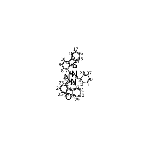 C1=CCC(c2nc(-c3cccc4c3sc3ccccc34)nc(-c3cccc4oc5ccccc5c34)n2)C=C1